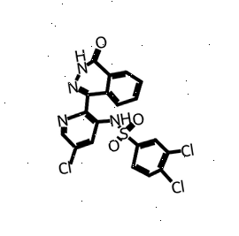 O=c1[nH]nc(-c2ncc(Cl)cc2NS(=O)(=O)c2ccc(Cl)c(Cl)c2)c2ccccc12